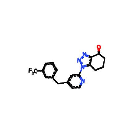 O=C1CCCc2c1nnn2-c1cc(Cc2cccc(C(F)(F)F)c2)ccn1